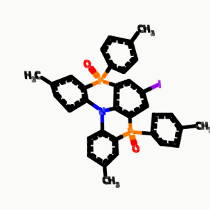 Cc1ccc(P2(=O)c3cc(C)ccc3N3c4ccc(C)cc4P(=O)(c4ccc(C)cc4)c4cc(I)cc2c43)cc1